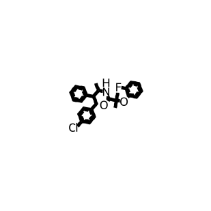 CC(NC(=O)C(C)(C)Oc1ccccc1F)C(Cc1ccc(Cl)cc1)c1ccccc1